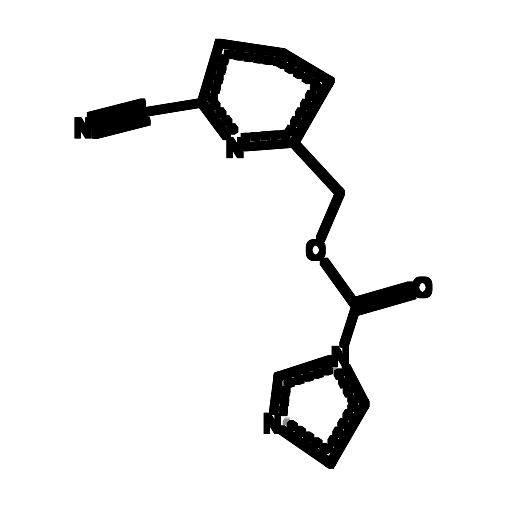 N#Cc1cccc(COC(=O)n2ccnc2)n1